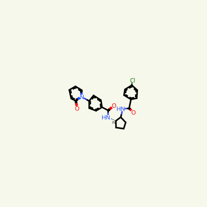 O=C(NC1CCC[C@@H]1NC(=O)c1ccc(-n2ccccc2=O)cc1)c1ccc(Cl)cc1